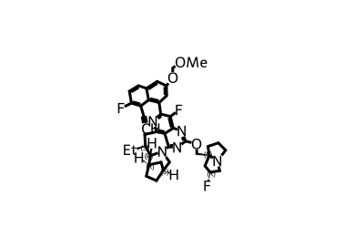 C#Cc1c(F)ccc2cc(OCOC)cc(-c3nc4c5c(nc(OC[C@@]67CCCN6C[C@H](F)C7)nc5c3F)N3C[C@H]5CC[C@H](C5)[C@@H]3[C@@H](CC)C4)c12